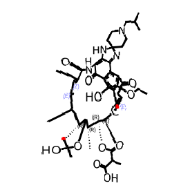 CCOc1c(C)c(O)c2c3c1C(=O)C/C=C/C[C@@H](C)[C@@H](OC(=O)C(C)C(=O)O)[C@H](C)C(OC(C)(C)O)[C@H](C)CC(C)/C=C/C=C(/C)C(=O)NC(=C1NC4(CCN(CC(C)C)CC4)N=C13)C2=O